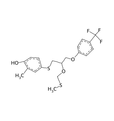 CSCOC(COc1ccc(C(F)(F)F)cc1)CSc1ccc(O)c(C)c1